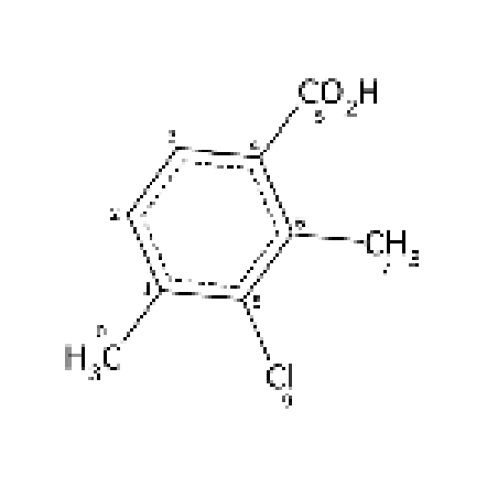 Cc1ccc(C(=O)O)c(C)c1Cl